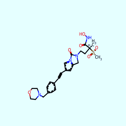 C[C@@](CCN1Cc2cc(C#Cc3ccc(CN4CCOCC4)cc3)cn2C1=O)(C(=O)NO)S(C)(=O)=O